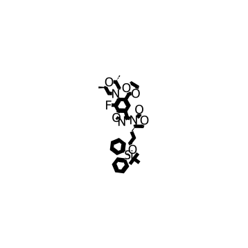 C[C@@H]1CN(c2c(C3OCCO3)cc3c(N4C(=O)OC[C@@H]4CCCO[Si](c4ccccc4)(c4ccccc4)C(C)(C)C)noc3c2F)C[C@@H](C)O1